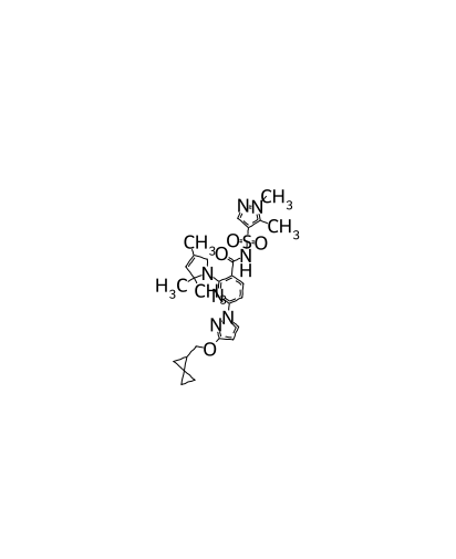 CC1=CC(C)(C)N(c2nc(-n3ccc(OCC4CC45CC5)n3)ccc2C(=O)NS(=O)(=O)c2cnn(C)c2C)C1